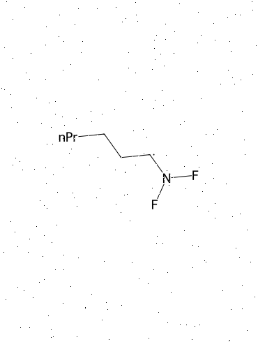 CCCCC[CH]N(F)F